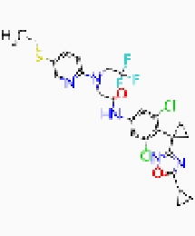 CCSc1ccc(N(CC(=O)Nc2cc(Cl)c(C3(c4noc(C5CC5)n4)CC3)c(Cl)c2)CC(F)(F)F)nc1